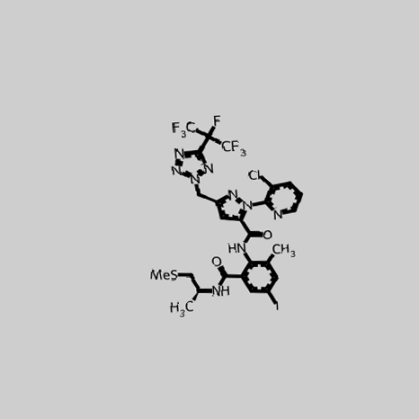 CSC[C@H](C)NC(=O)c1cc(I)cc(C)c1NC(=O)c1cc(Cn2nnc(C(F)(C(F)(F)F)C(F)(F)F)n2)nn1-c1ncccc1Cl